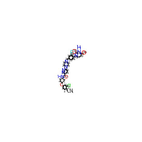 N#Cc1ccc(OC2CCC(NC(=O)c3ccc(N4CCN(Cc5ccc(N6CCC(=O)NC6=O)c(F)c5)CC4)nn3)CC2)cc1Cl